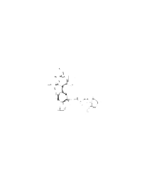 CNc1nc(N)nc(C)c1-c1ccc(OC)c(OCCCN2CCCC2C)c1